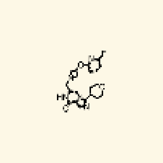 O=c1[nH]c(CN2CC(Oc3cccc(F)n3)C2)cn2c(C3CCOCC3)ncc12